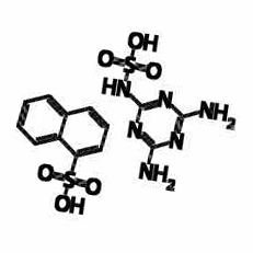 Nc1nc(N)nc(NS(=O)(=O)O)n1.O=S(=O)(O)c1cccc2ccccc12